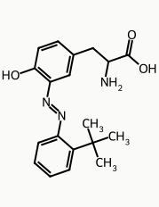 CC(C)(C)c1ccccc1/N=N/c1cc(CC(N)C(=O)O)ccc1O